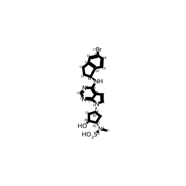 CN([C@H]1C[C@@H](n2ccc3c(N[C@H]4CCc5cc(Br)ccc54)ncnc32)C[C@@H]1O)S(=O)(=O)O